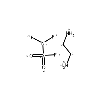 NCCN.O=S(=O)(F)N(F)F